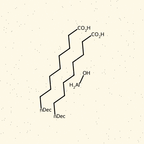 CCCCCCCCCCCCCCCCCC(=O)O.CCCCCCCCCCCCCCCCCC(=O)O.[OH][AlH2]